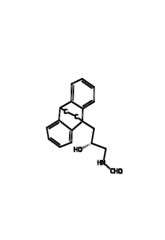 O=CNC[C@H](O)CC12CCC(c3ccccc31)c1ccccc12